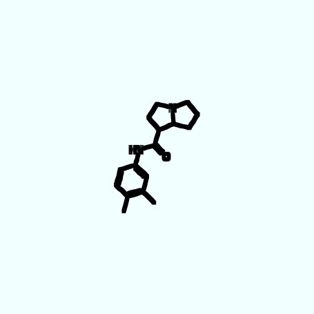 Cc1ccc(NC(=O)C2CCN3CCCC23)cc1C